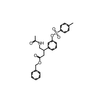 CC(=O)NCC(CC(=O)OCc1ccccc1)c1cccc(OS(=O)(=O)c2ccc(C)cc2)c1